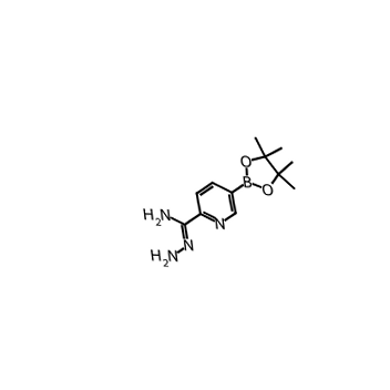 CC1(C)OB(c2ccc(/C(N)=N/N)nc2)OC1(C)C